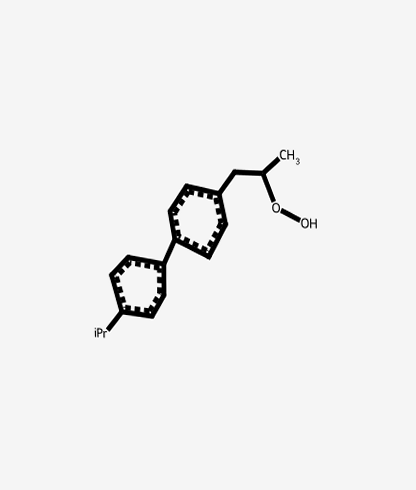 CC(Cc1ccc(-c2ccc(C(C)C)cc2)cc1)OO